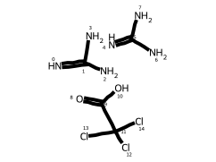 N=C(N)N.N=C(N)N.O=C(O)C(Cl)(Cl)Cl